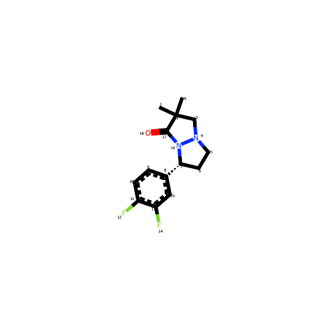 CC1(C)CN2CC[C@H](c3ccc(F)c(F)c3)N2C1=O